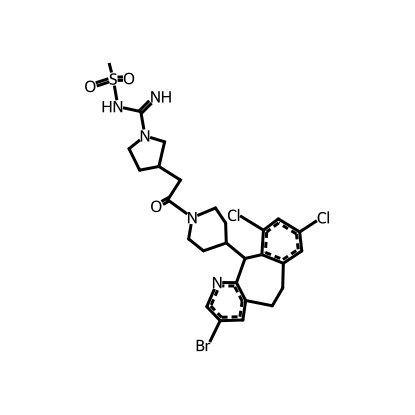 CS(=O)(=O)NC(=N)N1CCC(CC(=O)N2CCC(C3c4ncc(Br)cc4CCc4cc(Cl)cc(Cl)c43)CC2)C1